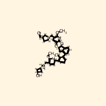 COc1nc(-c2cccc(-c3cccc4c3CC[C@@H]4Oc3nc(OC)c(CN4CC[C@H](C=O)C4)cc3Cl)c2Cl)ccc1CNC[C@H]1C[C@H](O)C1